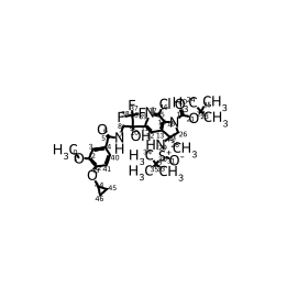 COc1cc(C(=O)NCC(O)(c2cc3c(c(Cl)n2)N(C(=O)OC(C)(C)C)C[C@@]3(C)N[S+]([O-])C(C)(C)C)C(F)(F)F)ccc1OC1CC1